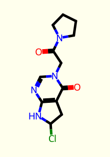 O=C(Cn1cnc2c(c1=O)CC(Cl)N2)N1CCCC1